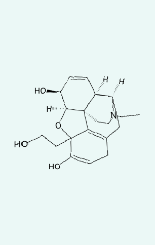 CN1CC[C@]23C4=C5CC=C(O)C4(CCO)O[C@H]2[C@@H](O)C=C[C@H]3[C@H]1C5